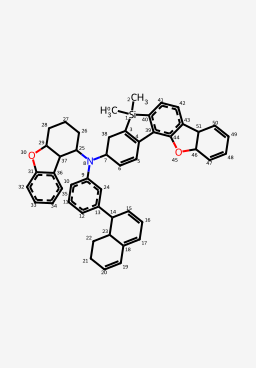 C[Si]1(C)C2=C(C=CC(N(c3cccc(C4C=CC=C5C=CCCC54)c3)C3CCCC4Oc5ccccc5C43)C2)c2c1ccc1c2OC2C=CC=CC12